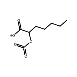 CCCCCC(OP(=O)=O)C(=O)O